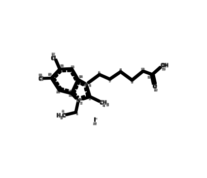 CC[n+]1c(C)n(CCCCCC(=O)O)c2cc(Cl)c(Cl)cc21.[I-]